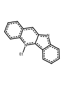 CCn1c2c3ccccc3nc-2cc2ccccc21